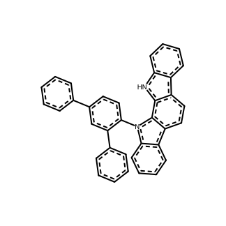 c1ccc(-c2ccc(-n3c4ccccc4c4ccc5c6ccccc6[nH]c5c43)c(-c3ccccc3)c2)cc1